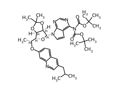 CC(C)Cc1cnc2cc(O[C@H](C)[C@H]3O[C@@H](n4ccc5c(N(C(=O)OC(C)(C)C)C(=O)OC(C)(C)C)ncnc54)[C@@H]4OC(C)(C)O[C@@H]43)ccc2c1